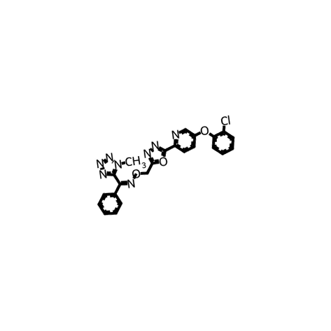 Cn1nnnc1/C(=N\OCc1nnc(-c2ccc(Oc3ccccc3Cl)cn2)o1)c1ccccc1